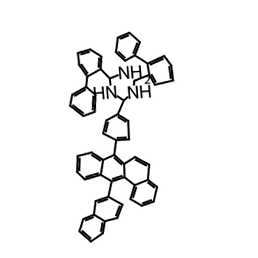 NC(NC(NCc1ccccc1-c1ccccc1)c1ccc(-c2c3ccccc3c(-c3ccc4ccccc4c3)c3c2ccc2ccccc23)cc1)c1ccccc1-c1ccccc1